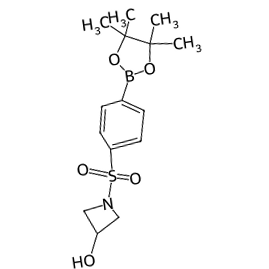 CC1(C)OB(c2ccc(S(=O)(=O)N3CC(O)C3)cc2)OC1(C)C